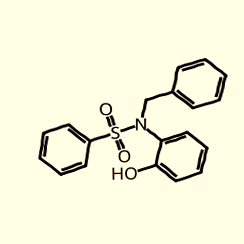 O=S(=O)(c1ccccc1)N(Cc1ccccc1)c1ccccc1O